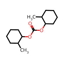 CC1CCCCC1OC(=O)OC1CCCCC1C